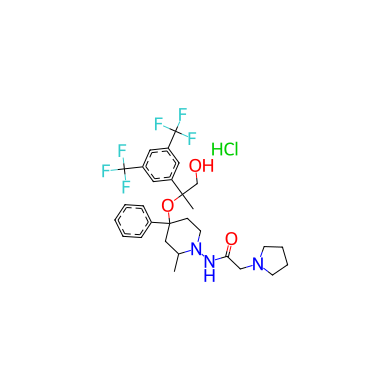 CC1CC(OC(C)(CO)c2cc(C(F)(F)F)cc(C(F)(F)F)c2)(c2ccccc2)CCN1NC(=O)CN1CCCC1.Cl